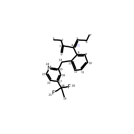 C=C(CC)/C(=C/CC)c1ccccc1Cc1cc(C(C)(F)F)ccn1